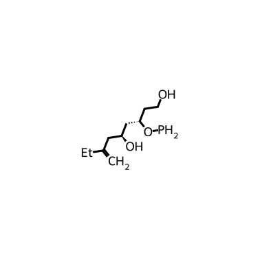 C=C(CC)C[C@H](O)C[C@H](CCO)OP